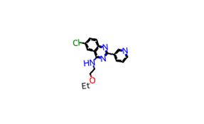 CCOCCNc1nc(-c2cccnc2)nc2ccc(Cl)cc12